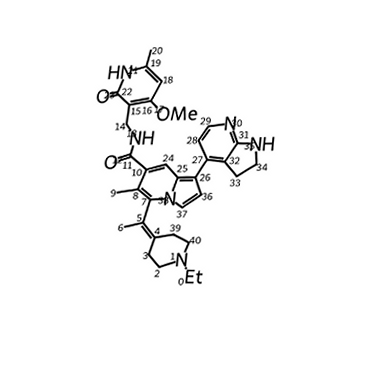 CCN1CCC(=C(C)c2c(C)c(C(=O)NCc3c(OC)cc(C)[nH]c3=O)cc3c(-c4ccnc5c4CCN5)ccn23)CC1